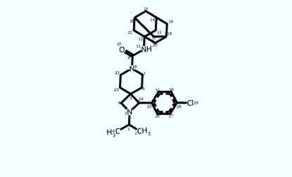 CC(C)N1CC2(CCN(C(=O)NC34CC5CC(CC(C5)C3)C4)CC2)C1c1ccc(Cl)cc1